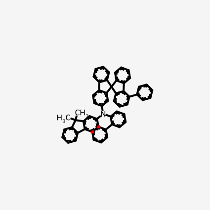 CC1(C)c2ccccc2-c2ccc(N(c3ccc4c(c3)C3(c5ccccc5-4)c4ccccc4-c4c(-c5ccccc5)cccc43)c3ccccc3-c3ccccc3)cc21